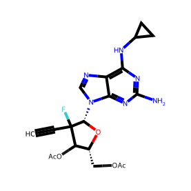 C#CC1(F)C(OC(C)=O)[C@@H](COC(C)=O)O[C@H]1n1cnc2c(NC3CC3)nc(N)nc21